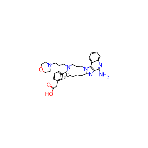 CCCCc1nc2c(N)nc3ccccc3c2n1CCCN(CCCN1CCOCC1)Cc1cccc(CC(=O)O)c1